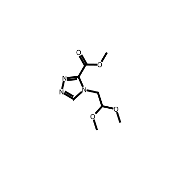 COC(=O)c1nn[c]n1CC(OC)OC